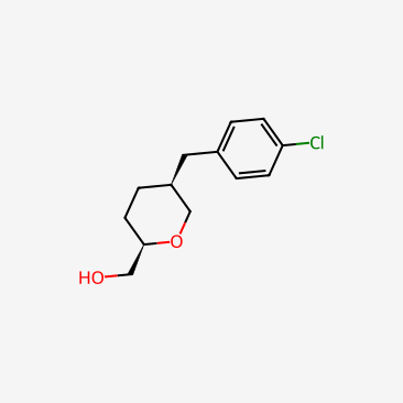 OC[C@H]1CC[C@@H](Cc2ccc(Cl)cc2)CO1